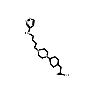 O=C(O)CC1CCC(N2CCN(CCCCNc3ccnnc3)CC2)CC1